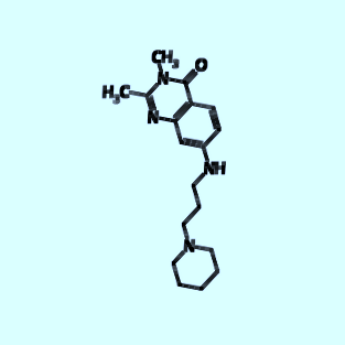 Cc1nc2cc(NCCCN3CCCCC3)ccc2c(=O)n1C